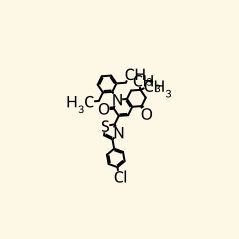 CCc1cccc(CC)c1-n1c2c(cc(-c3nc(-c4ccc(Cl)cc4)cs3)c1=O)C(=O)CC(C)(C)C2